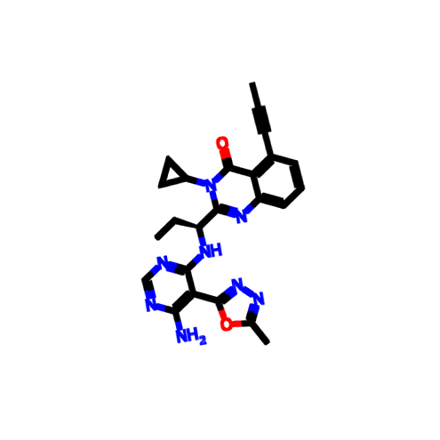 CC#Cc1cccc2nc([C@H](CC)Nc3ncnc(N)c3-c3nnc(C)o3)n(C3CC3)c(=O)c12